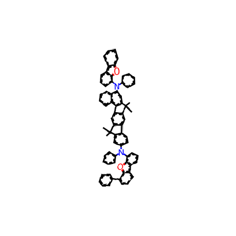 CC1(C)c2cc(N(c3ccccc3)c3cccc4c3oc3c(-c5ccccc5)cccc34)ccc2-c2cc3c(cc21)-c1c(cc(N(c2ccccc2)c2cccc4c2oc2ccccc24)c2ccccc12)C3(C)C